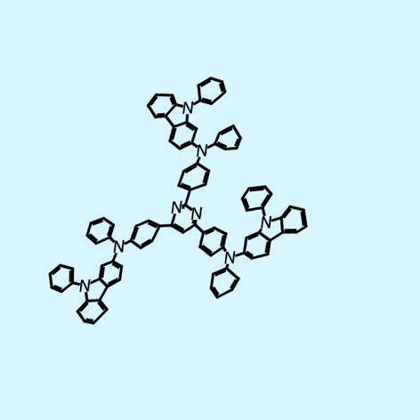 c1ccc(N(c2ccc(-c3cc(-c4ccc(N(c5ccccc5)c5ccc6c7ccccc7n(-c7ccccc7)c6c5)cc4)nc(-c4ccc(N(c5ccccc5)c5ccc6c7ccccc7n(-c7ccccc7)c6c5)cc4)n3)cc2)c2ccc3c4ccccc4n(-c4ccccc4)c3c2)cc1